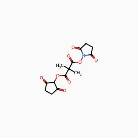 CC(C)(C(=O)OC1C(=O)CCC1=O)C(=O)ON1C(=O)CCC1=O